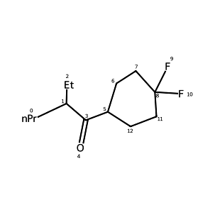 CCCC(CC)C(=O)C1CCC(F)(F)CC1